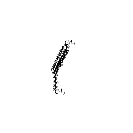 CCCCCCCCCCC(F)(F)C(F)(F)C(F)(F)C(F)(F)C(F)(F)C(F)(F)C(F)(F)C(F)(F)C(F)(F)C(F)(F)CCC